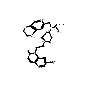 CCC(C(=O)O)N(Cc1cc2c(cn1)OCCO2)C1CCN(CCn2c(=O)ccc3ncc(OC)cc32)CC1